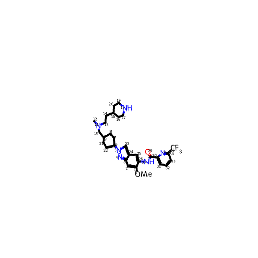 COc1cc2nn(C3CCC(CN(C)CCC4CCNCC4)CC3)cc2cc1NC(=O)c1cccc(C(F)(F)F)n1